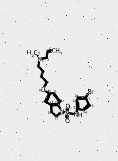 C=CCN(C)CCCCOc1ccc2c(c1)CCN2S(=O)(=O)Nc1ccc(Br)cc1